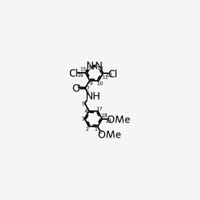 COc1ccc(CNC(=O)c2cc(Cl)nnc2Cl)cc1OC